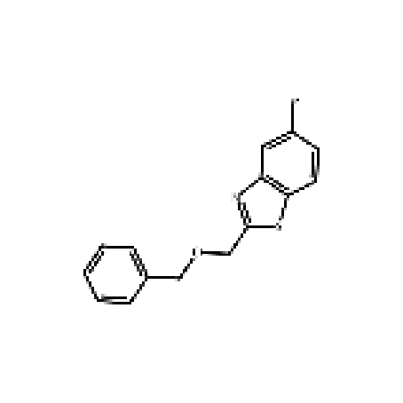 [CH2]c1ccc2sc(COCc3ccccc3)nc2c1